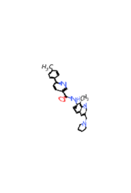 Cc1ccc(-c2ccc(C(=O)Nc3ccc4cc(CN5CCCC5)cnc4c3C)cn2)cc1